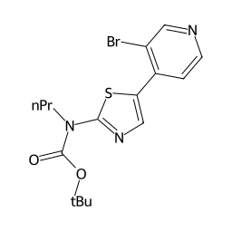 CCCN(C(=O)OC(C)(C)C)c1ncc(-c2ccncc2Br)s1